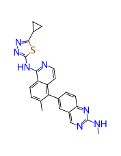 CNc1ncc2cc(-c3c(C)ccc4c(Nc5nnc(C6CC6)s5)nccc34)ccc2n1